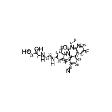 CCN1C(=O)N(c2c(F)cc(NCCNC[C@H](O)CO)cc2F)c2cc(C#N)ccc2-c2cc(F)cnc21